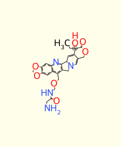 CC[C@@]1(O)C(=O)OCC2=CN3Cc4c(nc5cc6c(cc5c4COCNC(=O)CN)OCO6)C3C=C21